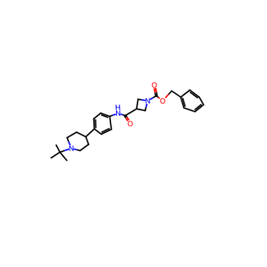 CC(C)(C)N1CCC(c2ccc(NC(=O)C3CN(C(=O)OCc4ccccc4)C3)cc2)CC1